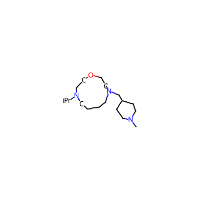 CC(C)N1CCCCN(CC2CCN(C)CC2)CCOCC1